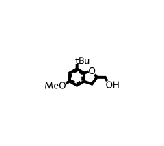 COc1cc2c(c(C(C)(C)C)c1)OC(CO)C2